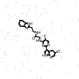 C[C@H](Nc1nc(-c2c[nH]c3ncc(Cl)cc23)ncc1F)C(=O)NCCc1nc2ccccc2[nH]1